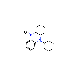 CN(c1ccccc1NC1CCCCC1)C1CCCCC1